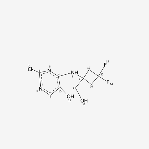 OCC1(Nc2nc(Cl)ncc2O)CC(F)(F)C1